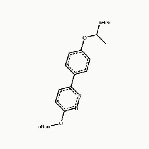 CCCCCCCCCOc1ccc(-c2ccc(OC(C)CCCCCC)cc2)nn1